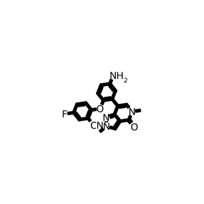 Cn1cc2c(=O)n(C)cc(-c3cc(N)ccc3Oc3ccc(F)cc3C#N)c2n1